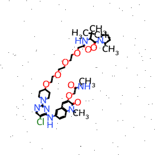 CNC(=O)COc1cc2cc(Nc3nc(N4CCC(OCCOCCOCCOCC(=O)NC(C(=O)N5CCCC5C)C(C)(C)C)CC4)ncc3Cl)ccc2n(C)c1=O